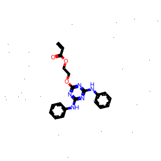 C=CC(=O)OCCOc1nc(Nc2ccccc2)nc(Nc2ccccc2)n1